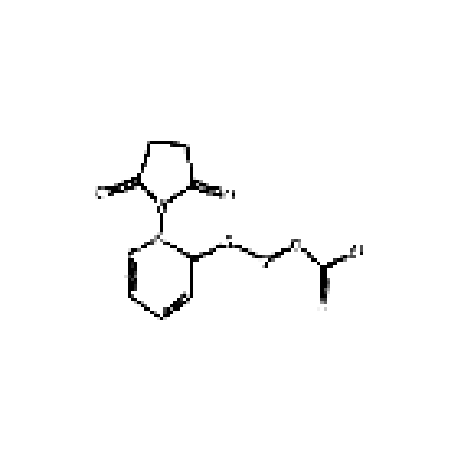 CCC(=O)OSSC1C=CC=CN1N1C(=O)CCC1=O